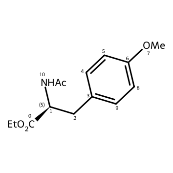 CCOC(=O)[C@H](Cc1ccc(OC)cc1)NC(C)=O